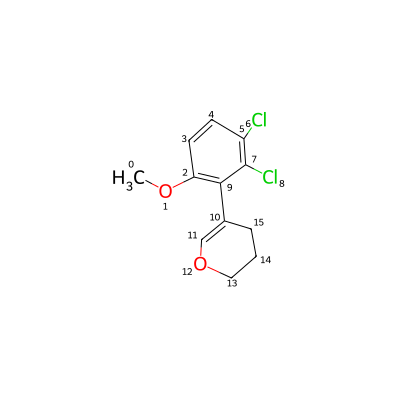 COc1ccc(Cl)c(Cl)c1C1=COCCC1